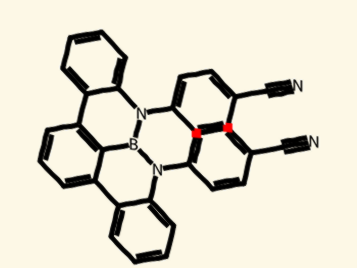 N#Cc1ccc(N2B3c4c(cccc4-c4ccccc4N3c3ccc(C#N)cc3)-c3ccccc32)cc1